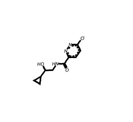 O=C(NCC(O)C1CC1)c1ccc(Cl)nn1